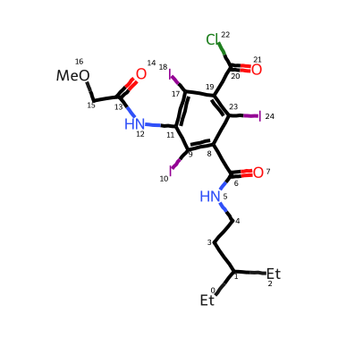 CCC(CC)CCNC(=O)c1c(I)c(NC(=O)COC)c(I)c(C(=O)Cl)c1I